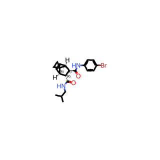 CC(C)CNC(=O)[C@H]1[C@H](C(=O)Nc2ccc(Br)cc2)[C@@H]2C=C[C@H]1C21CC1